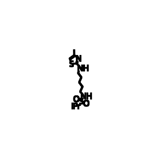 Cc1csc(NCCCCCNS(=O)(=O)C(C)C)n1